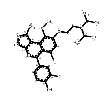 COc1c(OCCN(C(C)C)C(C)C)cc(F)c2c(-c3ccc(O)c(Cl)c3)nc3[nH]nc(C)c3c12